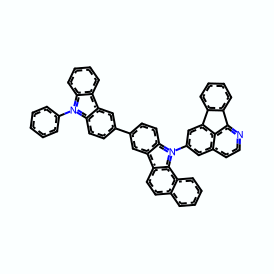 c1ccc(-n2c3ccccc3c3cc(-c4ccc5c(c4)c4ccc6ccccc6c4n5-c4cc5c6c(nccc6c4)-c4ccccc4-5)ccc32)cc1